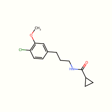 COc1cc(CCCNC(=O)C2CC2)ccc1Cl